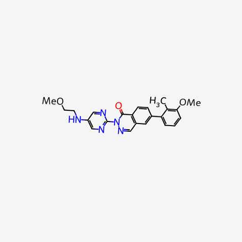 COCCNc1cnc(-n2ncc3cc(-c4cccc(OC)c4C)ccc3c2=O)nc1